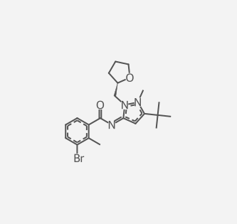 Cc1c(Br)cccc1C(=O)/N=c1/cc(C(C)(C)C)n(C)n1C[C@H]1CCCO1